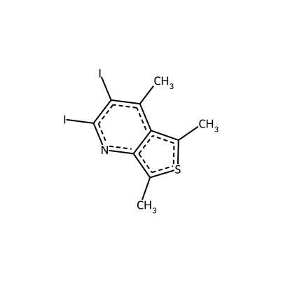 Cc1sc(C)c2c(C)c(I)c(I)nc12